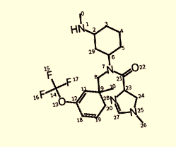 CNC1CCCC(N(CC2(C)C=C(OC(F)(F)F)C=CC2)C(=O)C2CN(C)C=N2)C1